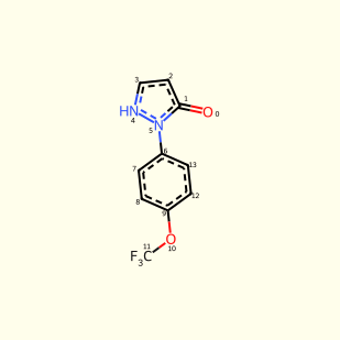 O=c1cc[nH]n1-c1ccc(OC(F)(F)F)cc1